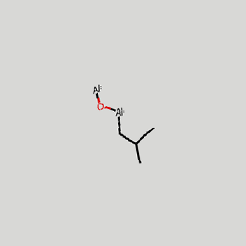 CC(C)[CH2][Al][O][Al]